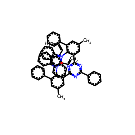 C=Cc1c(/C=C\C)c2ccccc2n1-c1c(-c2ccccc2)cc(C)cc1-c1nc(-c2ccccc2)nc(-c2cc(C)cc(-c3ccccc3)c2-n2c3ccccc3c3ccccc32)n1